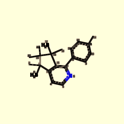 BC1(C)c2ccnc(-c3ccc(C)cc3)c2C(B)(C)C1(C)C